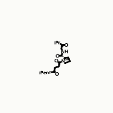 CCCC(C)C(=O)CCC(=O)N1CCC[C@H]1C(=O)NCC(=O)C(C)C